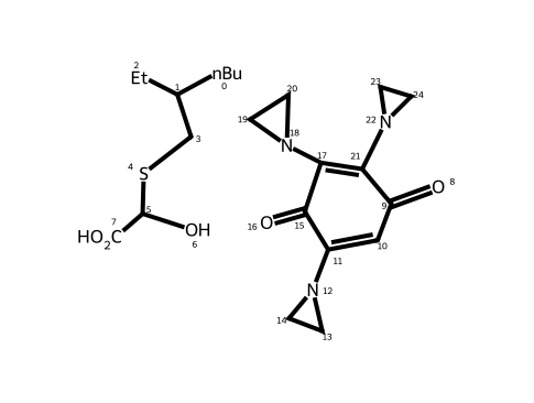 CCCCC(CC)CSC(O)C(=O)O.O=C1C=C(N2CC2)C(=O)C(N2CC2)=C1N1CC1